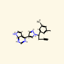 C#CCC(c1cc(C)cc(C#N)c1)n1cc(-c2ncnc3[nH]ccc23)cn1